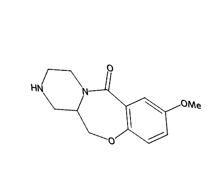 COc1ccc2c(c1)C(=O)N1CCNCC1CO2